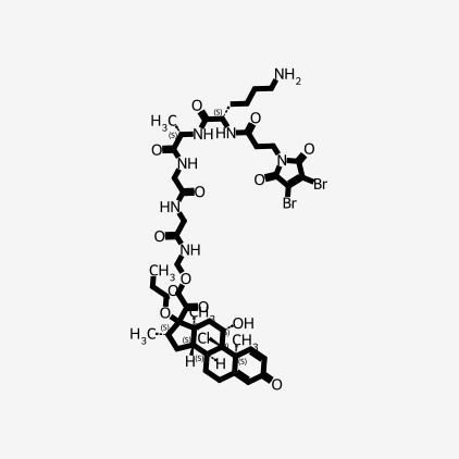 CCC(=O)OC1(C(=O)COCNC(=O)CNC(=O)CNC(=O)[C@H](C)NC(=O)[C@H](CCCCN)NC(=O)CCN2C(=O)C(Br)=C(Br)C2=O)[C@@H](C)C[C@H]2[C@@H]3CCC4=CC(=O)C=C[C@]4(C)[C@@]3(Cl)[C@@H](O)C[C@@]21C